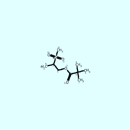 [CH2]C(COC(=O)C(C)(C)C)S(C)(=O)=O